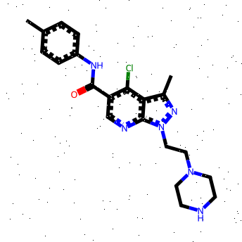 Cc1ccc(NC(=O)c2cnc3c(c(C)nn3CCN3CCNCC3)c2Cl)cc1